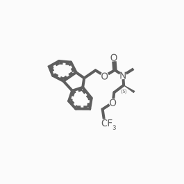 C[C@@H](COCC(F)(F)F)N(C)C(=O)OCC1c2ccccc2-c2ccccc21